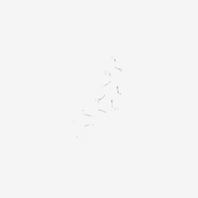 Cc1nc(-c2cnc3ccc(NC(N)=O)nc3n2)cs1